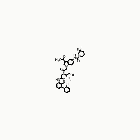 CC(=O)c1cn(CC(=O)N(CC(=O)Nc2cccc(-c3ccccc3Cl)c2F)[C@H](C)CO)c2ccc(NC(=O)N3CCCC(F)(F)C3)cc12